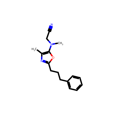 Cc1nc(CCCc2ccccc2)oc1N(C)CC#N